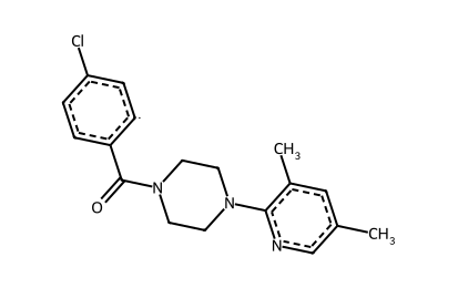 Cc1cnc(N2CCN(C(=O)c3[c]cc(Cl)cc3)CC2)c(C)c1